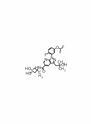 CC(C)(O)Cc1nn(-c2cc(OC(F)F)ccc2F)c2ncc(C(=O)NC3(C)CS(O)(O)C3)cc12